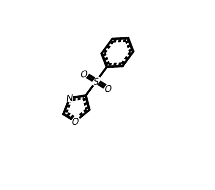 O=S(=O)(c1ccccc1)c1cocn1